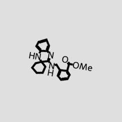 COC(=O)c1ccccc1CNC1=Nc2ccccc2NC12CCCCC2